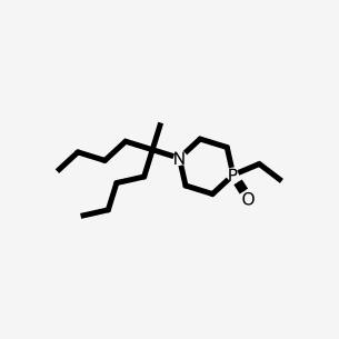 CCCCC(C)(CCCC)N1CCP(=O)(CC)CC1